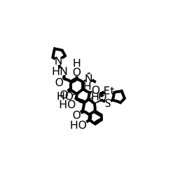 CCC(=O)O[C@H]1[C@@H]2C(=C(O)[C@@]3(O)C(=O)C(C(=O)NCN4CCCC4)=C(O)[C@@H](N(C)C)[C@@H]13)C(=O)c1c(O)cccc1[C@@H]2CSC1CCCC1